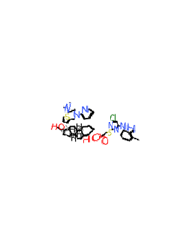 CC[C@]1(O)CC[C@H]2[C@@H]3CCC4=CCCC[C@@H]4[C@H]3CC[C@@]21C.CN(C)CCN(Cc1cccs1)c1ccccn1.Cc1cccc(Nc2cc(Cl)nc(SCC(=O)O)n2)c1C